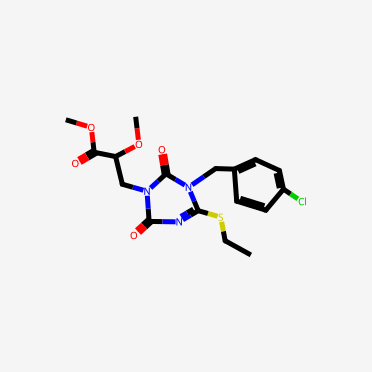 CCSc1nc(=O)n(CC(OC)C(=O)OC)c(=O)n1Cc1ccc(Cl)cc1